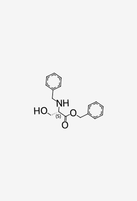 O=C(OCc1ccccc1)[C@H](CO)NCc1ccccc1